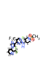 CS(=O)(=O)N1CC[C@H](Nc2ncc(C(F)(F)F)c(-c3cn(-c4cccnc4C(F)F)cn3)n2)[C@H](F)C1